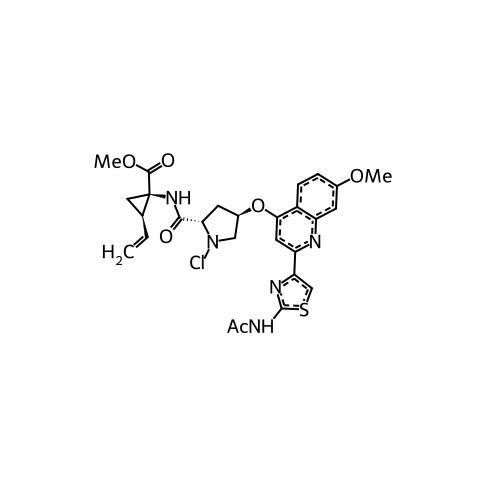 C=C[C@H]1C[C@]1(NC(=O)[C@@H]1C[C@@H](Oc2cc(-c3csc(NC(C)=O)n3)nc3cc(OC)ccc23)CN1Cl)C(=O)OC